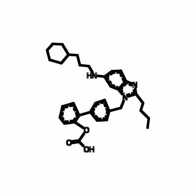 CCCCc1nc2ccc(NCCCC3CCCCC3)cc2n1Cc1ccc(-c2ccccc2OC(=O)O)cc1